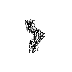 O.O.O.O.O.O.O.O.O.O.O.O.O=S(=O)([O-])[O-].O=S(=O)([O-])[O-].[Fe+2].[Ni+2]